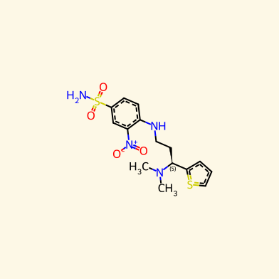 CN(C)[C@@H](CCNc1ccc(S(N)(=O)=O)cc1[N+](=O)[O-])c1cccs1